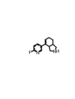 Fc1ccc(C2=CCCC3CNCC23)cn1